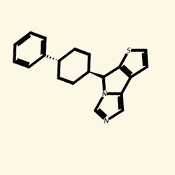 c1ccc([C@H]2CC[C@H](C3c4sccc4-c4cncn43)CC2)cc1